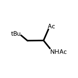 CC(=O)NC(CC(C)(C)C)C(C)=O